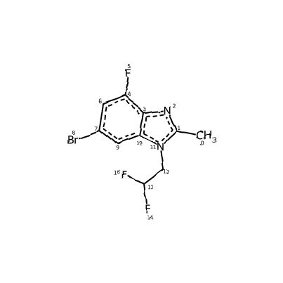 Cc1nc2c(F)cc(Br)cc2n1CC(F)F